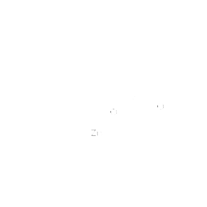 O=c1ccc2ccccc2o1.[Zn]